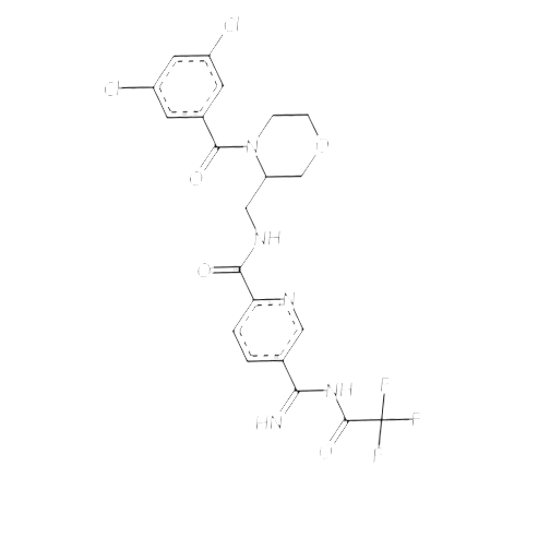 N=C(NC(=O)C(F)(F)F)c1ccc(C(=O)NCC2COCCN2C(=O)c2cc(Cl)cc(Cl)c2)nc1